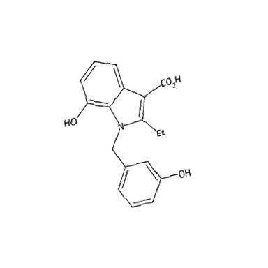 CCc1c(C(=O)O)c2cccc(O)c2n1Cc1cccc(O)c1